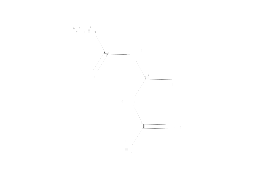 CNC(=O)OC(C)OC(=O)C(C)(C)C